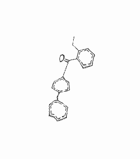 CCc1ccccc1C(=O)c1ccc(-c2ccccc2)cc1